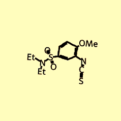 CCN(CC)S(=O)(=O)c1ccc(OC)c(N=C=S)c1